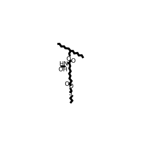 CCCCCCC(CCCCCC)CCOC(=O)C(CCCCCCCC(=O)OCCSCCCC)NCCO